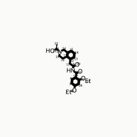 CCOc1ccc(C(=O)NC(=O)Cc2cccc3c2CCN([C@H](C)O)C3)c(OCC)c1